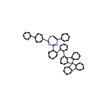 C1=C(c2ccccc2)N=C(c2ccccc2-c2ccccc2-c2cccc3c2-c2ccccc2C32c3ccccc3-c3ccccc32)N=C(c2ccc(-c3ccccc3)cc2)C1